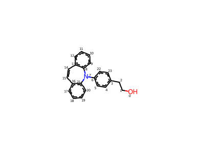 OCCc1ccc(N2c3ccccc3C=Cc3ccccc32)cc1